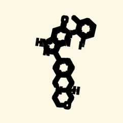 Cc1cccc(F)c1-n1nc2c(-c3ccc4c(c3)CN3CCOC[C@@H]3C4)n[nH]c2cc1=O